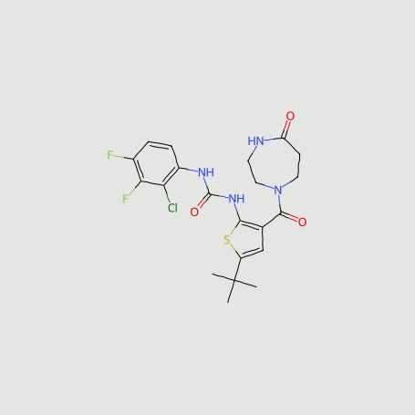 CC(C)(C)c1cc(C(=O)N2CCNC(=O)CC2)c(NC(=O)Nc2ccc(F)c(F)c2Cl)s1